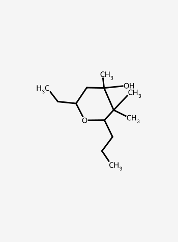 CCCC1OC(CC)CC(C)(O)C1(C)C